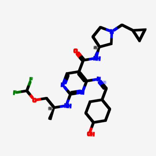 C[C@@H](COC(F)F)Nc1ncc(C(=O)N[C@H]2CCN(CC3CC3)C2)c(/N=C\C2CCC(O)CC2)n1